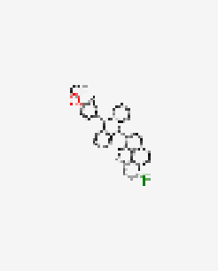 Fc1ccc2ccc3c(-c4c5ccccc5c(-c5ccc(OC(F)(F)F)cc5)c5ccccc45)ccc4ccc1c2c43